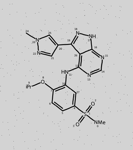 CNS(=O)(=O)c1ccc(OC(C)C)c(Nc2ncnc3[nH]nc(-c4cnn(C)c4)c23)c1